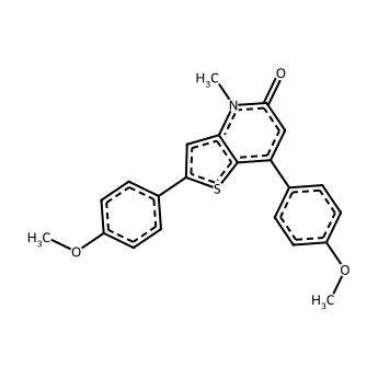 COc1ccc(-c2cc3c(s2)c(-c2ccc(OC)cc2)cc(=O)n3C)cc1